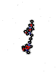 c1ccc(-c2ccc(-c3ccccc3N(c3ccc(-c4ccc(-c5cccc(N6c7ccccc7C7(c8ccccc8-c8ccc(N(c9ccccc9)c9ccccc9-c9ccc(-c%10ccccc%10)cc9)cc87)c7ccccc76)c5)cc4)cc3)c3ccc4c(c3)C3(c5ccccc5-4)c4ccccc4N(c4ccccc4)c4ccccc43)cc2)cc1